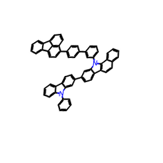 c1ccc(-n2c3ccccc3c3ccc(-c4ccc5c6ccc7ccccc7c6n(-c6cccc(-c7ccc(-c8ccc9c%10c(cccc8%10)-c8ccccc8-9)cc7)c6)c5c4)cc32)cc1